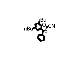 CCCCc1cc(C(C)CC)c2c(c1)C(c1ccccc1)SC(C#N)O2